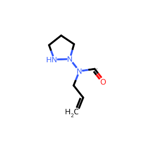 C=CCN([C]=O)N1CCCN1